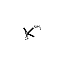 C[Si](C)([O])[SiH3]